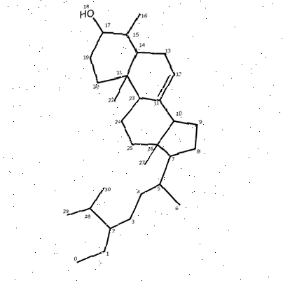 CCC(CCC(C)C1CCC2C3=CCC4C(C)C(O)CCC4(C)C3CCC21C)C(C)C